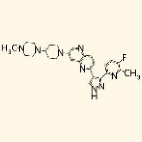 Cc1nc(-c2n[nH]cc2-c2ccc3ncc(N4CCC(N5CCN(C)CC5)CC4)cc3n2)ccc1F